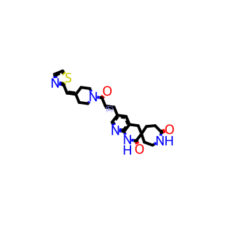 O=C1CCC2(CCN1)Cc1cc(/C=C/C(=O)N3CCC(=Cc4nccs4)CC3)cnc1NC2=O